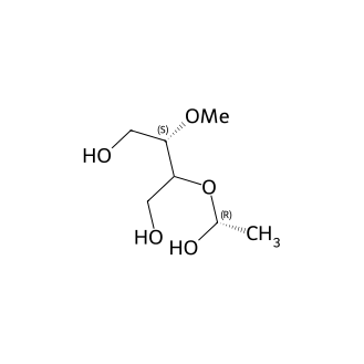 CO[C@@H](CO)C(CO)O[C@H](C)O